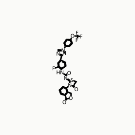 O=C(N=C1SCC(=O)N1c1cccc2c1COC2=O)Nc1ccc(-c2ncn(-c3ccc(OC(F)(F)F)cc3)n2)cc1F